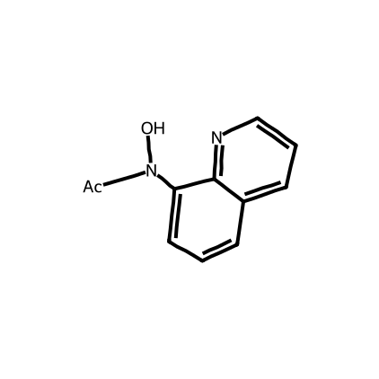 CC(=O)N(O)c1cccc2cccnc12